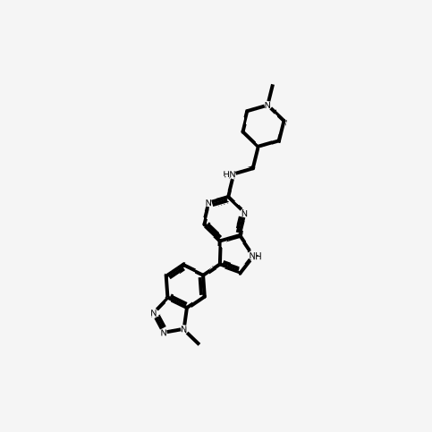 CN1CCC(CNc2ncc3c(-c4ccc5nnn(C)c5c4)c[nH]c3n2)CC1